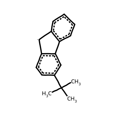 CC(C)(C)c1ccc2c(c1)-c1ccccc1[CH]2